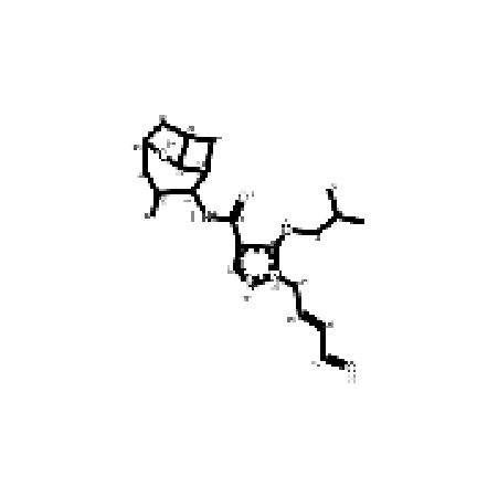 CC(C)COc1c(C(=O)NC2C(C)CC3CC4CC2C4C3)cnn1C/C=C/C=O